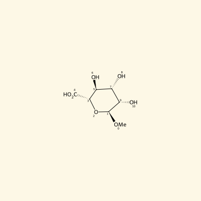 CO[C@H]1O[C@H](C(=O)O)[C@@H](O)[C@H](O)[C@@H]1O